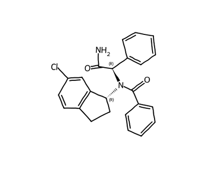 NC(=O)[C@@H](c1ccccc1)N(C(=O)c1ccccc1)[C@@H]1CCc2ccc(Cl)cc21